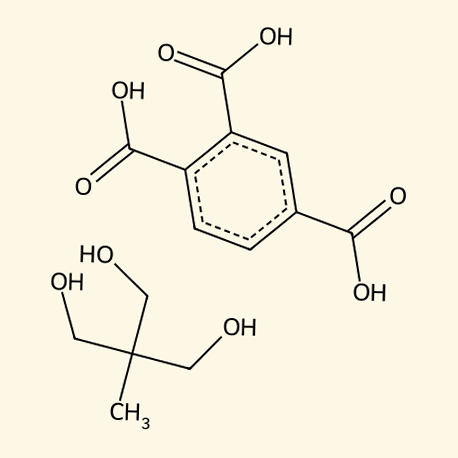 CC(CO)(CO)CO.O=C(O)c1ccc(C(=O)O)c(C(=O)O)c1